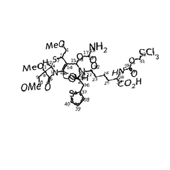 COCC1S[C@@H]2N(C(=O)[C@@]2(COC)OC)C(C(=O)O)=C1C(OC(N)=O)N(C(=O)CCCC(NC(=O)OCC(Cl)(Cl)Cl)C(=O)O)C(=O)Cc1cccs1